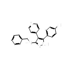 Clc1ccc(-c2[nH]nc(NCc3ccccc3)c2-c2ccncc2)cc1